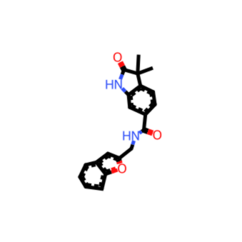 CC1(C)C(=O)Nc2cc(C(=O)NCc3cc4ccccc4o3)ccc21